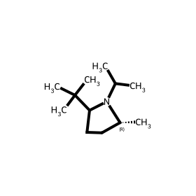 CC(C)N1C(C(C)(C)C)CC[C@H]1C